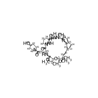 CC(C)[C@@H]1OC(=O)C(C)(C)/C=C/c2ccc3ccc(nc3c2)N(C)NC(=O)[C@@H]2CCCN(N2)C(=O)[C@H](CCC(=O)N2CCC(O)CC2)NC1=O